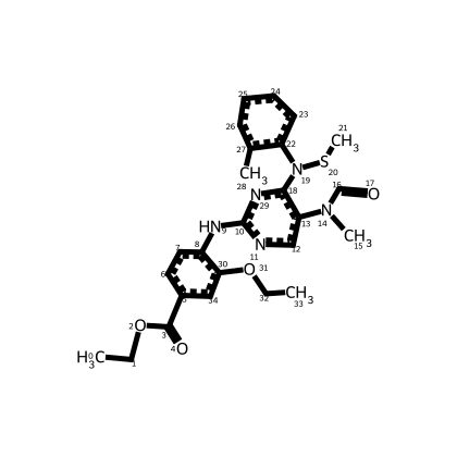 CCOC(=O)c1ccc(Nc2ncc(N(C)C=O)c(N(SC)c3ccccc3C)n2)c(OCC)c1